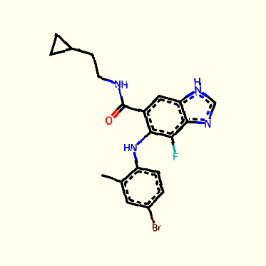 Cc1cc(Br)ccc1Nc1c(C(=O)NCCC2CC2)cc2[nH]cnc2c1F